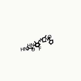 Cc1c(CN2CCN(C(=O)C3CCCC3)C(C)C2)cc(F)cc1NC(=O)C1CNC1